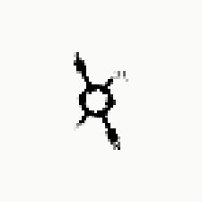 Cc1cc(C#N)c(F)cc1C#N